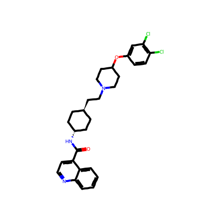 O=C(N[C@H]1CC[C@H](CCN2CCC(Oc3ccc(Cl)c(Cl)c3)CC2)CC1)c1ccnc2ccccc12